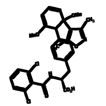 COC1=CC=CC(OC)(c2c(C)noc2C)C1c1ccc(C[C@H](NC(=O)c2c(Cl)cccc2Cl)C(=O)O)cc1